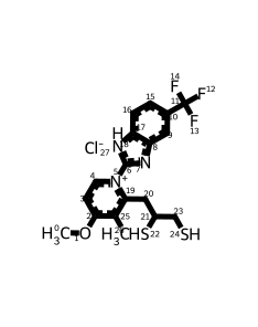 COc1cc[n+](-c2nc3cc(C(F)(F)F)ccc3[nH]2)c(CC(S)CS)c1C.[Cl-]